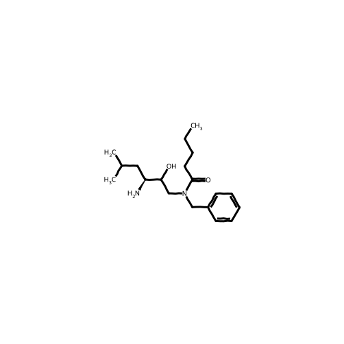 CCCCC(=O)N(Cc1ccccc1)CC(O)[C@@H](N)CC(C)C